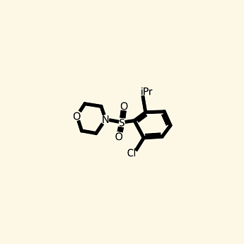 CC(C)c1cccc(Cl)c1S(=O)(=O)N1CCOCC1